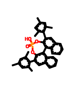 Cc1cc(C)c(-c2cc3ccccc3c3c2OP(=O)(O)Oc2c(-c4c(C)cc(C)cc4C)cc4ccccc4c2-3)c(C)c1